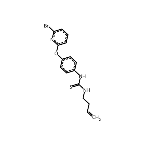 C=CCCNC(=S)Nc1ccc(Oc2cccc(Br)n2)cc1